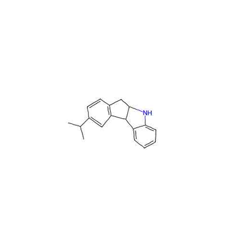 CC(C)c1ccc2c(c1)C1c3ccccc3NC1C2